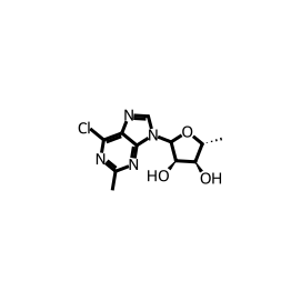 Cc1nc(Cl)c2ncn(C3O[C@H](C)[C@@H](O)[C@H]3O)c2n1